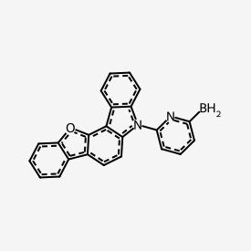 Bc1cccc(-n2c3ccccc3c3c4oc5ccccc5c4ccc32)n1